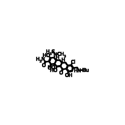 CCC(C)NCc1cc(O)c2c(c1Cl)C[C@H]1C[C@H]3[C@H](N(C)C)C(O)=C(C(N)=O)C(=O)[C@@]3(O)C(O)=C1C2=O